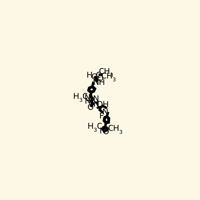 Cc1noc(C)c1-c1ccc(CN2CCC(O)(Cn3cnc4c(-c5ccc(CNC(=O)OC(C)(C)C)cc5)n(C)nc4c3=O)CC2)c(F)c1